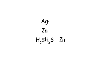 S.S.[Ag].[Zn].[Zn]